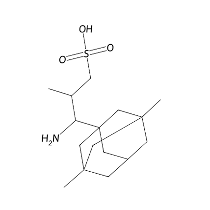 CC(CS(=O)(=O)O)C(N)C12CC3CC(C)(CC(C)(C3)C1)C2